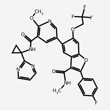 CNC(=O)c1c(-c2ccc(F)cc2)oc2cc(OCC(F)(F)F)c(-c3cnc(OC)c(C(=O)NC4(c5ncccn5)CC4)c3)cc12